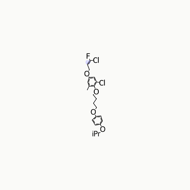 Cc1cc(OC/C=C(/F)Cl)cc(Cl)c1OCCCCOc1ccc(OC(C)C)cc1